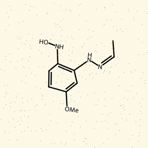 C/C=N\Nc1cc(OC)ccc1NO